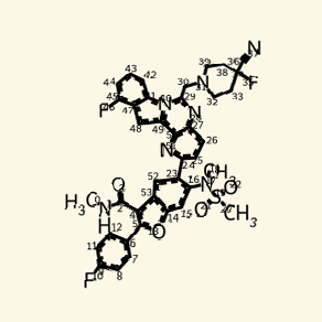 CNC(=O)c1c(-c2ccc(F)cc2)oc2cc(N(C)S(C)(=O)=O)c(-c3ccc4nc(CN5CCC(F)(C#N)CC5)n5c6cccc(F)c6cc5c4n3)cc12